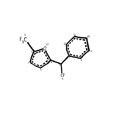 FC(F)(F)c1ccc(C(Cl)c2ccccc2)o1